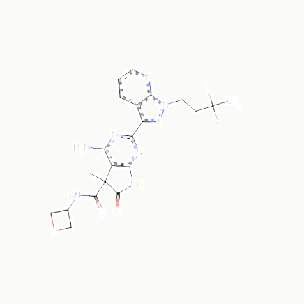 CC1(C(=O)NC2COC2)C(=O)Nc2nc(-c3nn(CCC(F)(F)C(F)(F)F)c4ncccc34)nc(N)c21